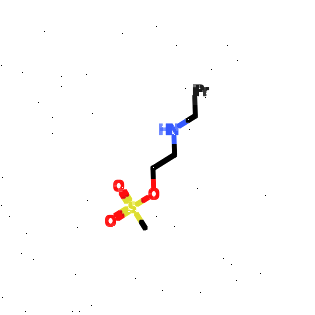 CC(C)CNCCOS(C)(=O)=O